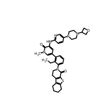 CCc1c(-c2cc(Nc3ccc(N4CCN(C5COC5)CC4)cn3)c(=O)n(C)c2)cccc1N1CCc2c(sc3c2CCCC3)C1=O